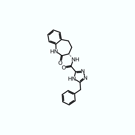 O=C(N[C@H]1CCc2ccccc2NC1=O)c1nnc(Cc2ccccc2)[nH]1